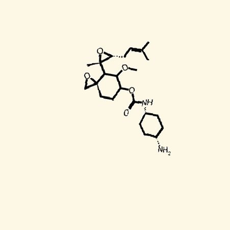 COC1C(OC(=O)N[C@H]2CC[C@@H](N)CC2)CC[C@]2(CO2)C1[C@]1(C)O[C@@H]1CC=C(C)C